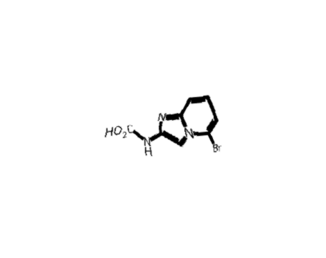 O=C(O)Nc1cn2c(Br)cccc2n1